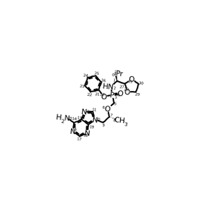 CC(C)[C@H](NP(=O)(CO[C@H](C)Cn1cnc2c(N)ncnc21)Oc1ccccc1)C1OCCO1